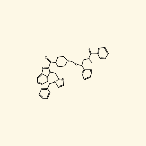 CN(CC(CCN1CCC(C(=O)c2nc3ccccc3n2Cc2nccn2Cc2ccccc2)CC1)c1ccccc1)C(=O)c1ccccc1